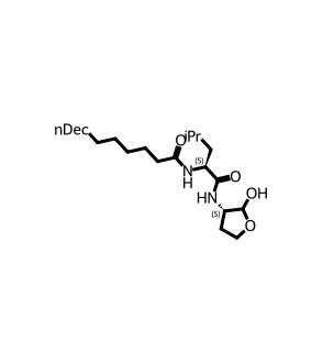 CCCCCCCCCCCCCCCC(=O)N[C@@H](CC(C)C)C(=O)N[C@H]1CCOC1O